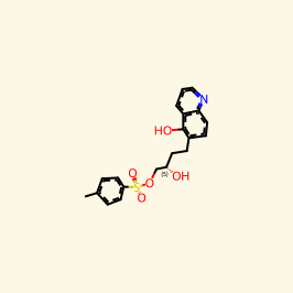 Cc1ccc(S(=O)(=O)OC[C@@H](O)CCc2ccc3ncccc3c2O)cc1